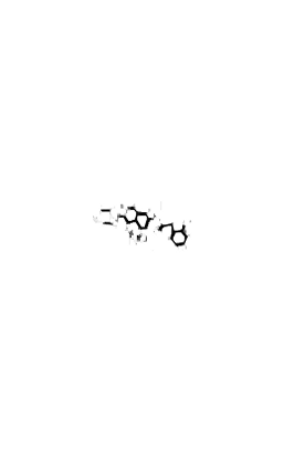 NS(=O)(=O)c1cc(NC(=O)Cc2ccccc2Cl)cc2cnc(N3CCOCC3)cc12